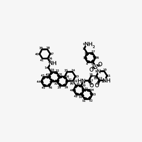 NCc1ccc(S(=O)(=O)N2CCNC(=O)[C@H]2CC(=O)Nc2c([C@@H]3CCCc4c3ccc3c4cc(CNC4CCCCC4)c4ccccc43)ccc3ccccc23)cc1